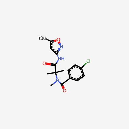 CN(C(=O)c1ccc(Cl)cc1)C(C)(C)C(=O)Nc1cc(C(C)(C)C)on1